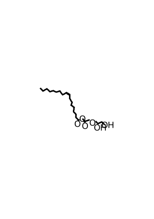 CCCCCCCC/C=C\CCCCCCCC(=O)OC(=O)COCC(O)CO